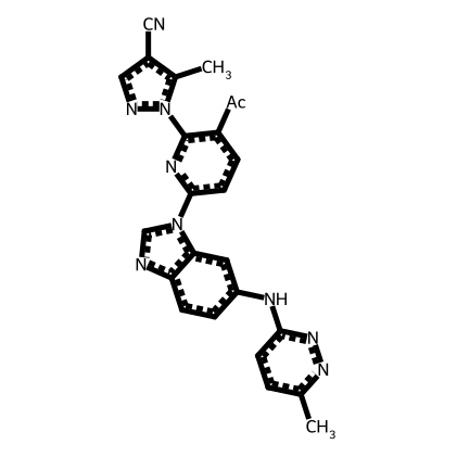 CC(=O)c1ccc(-n2cnc3ccc(Nc4ccc(C)nn4)cc32)nc1-n1ncc(C#N)c1C